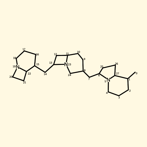 CC1CCCN2C(CC3CCC4CC(CC5CCCN6CCC56)N4C3)CCC12